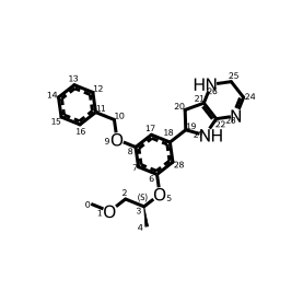 COC[C@H](C)Oc1cc(OCc2ccccc2)cc(C2CC3=C(N=CCN3)N2)c1